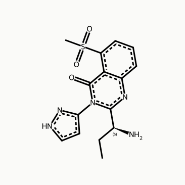 CC[C@H](N)c1nc2cccc(S(C)(=O)=O)c2c(=O)n1-c1cc[nH]n1